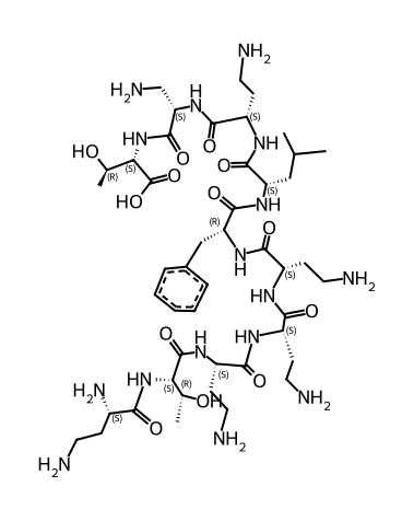 CC(C)C[C@H](NC(=O)[C@@H](Cc1ccccc1)NC(=O)[C@H](CCN)NC(=O)[C@H](CCN)NC(=O)[C@H](CCN)NC(=O)[C@@H](NC(=O)[C@@H](N)CCN)[C@@H](C)O)C(=O)N[C@@H](CCN)C(=O)N[C@@H](CN)C(=O)N[C@H](C(=O)O)[C@@H](C)O